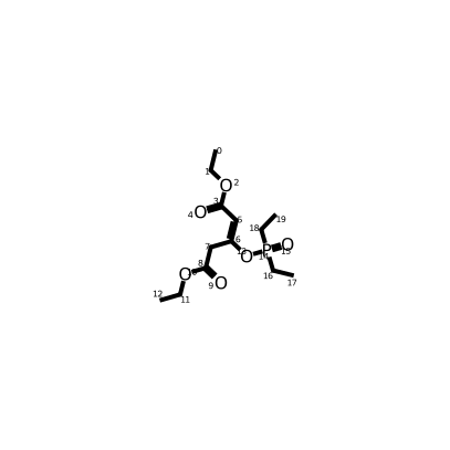 CCOC(=O)C=C(CC(=O)OCC)OP(=O)(CC)CC